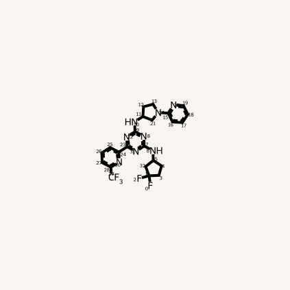 FC1(F)CCC(Nc2nc(NC3CCN(c4ccccn4)C3)nc(-c3cccc(C(F)(F)F)n3)n2)C1